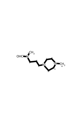 CN(C=O)CCCN1CCN(C)CC1